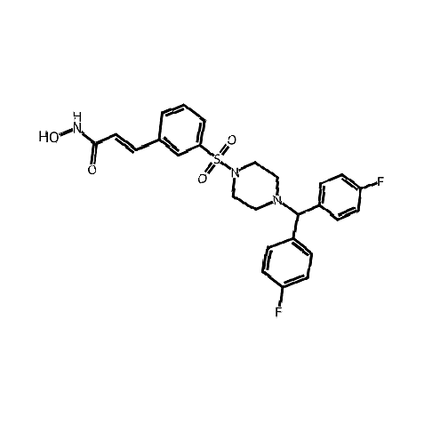 O=C(C=Cc1cccc(S(=O)(=O)N2CCN(C(c3ccc(F)cc3)c3ccc(F)cc3)CC2)c1)NO